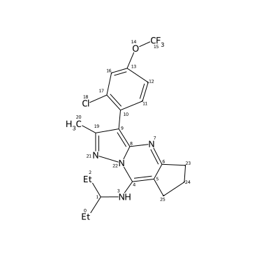 CCC(CC)Nc1c2c(nc3c(-c4ccc(OC(F)(F)F)cc4Cl)c(C)nn13)CCC2